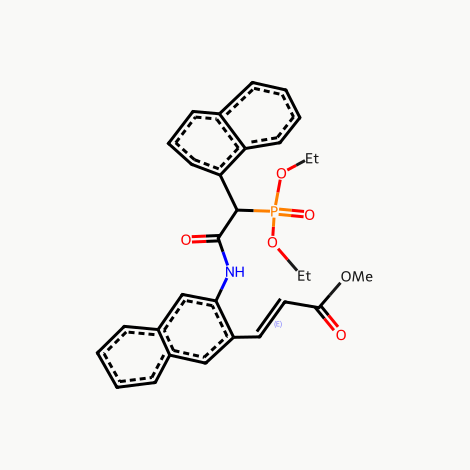 CCOP(=O)(OCC)C(C(=O)Nc1cc2ccccc2cc1/C=C/C(=O)OC)c1cccc2ccccc12